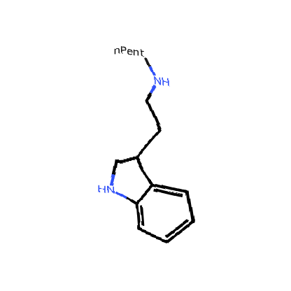 CCCCCNCCC1CNc2ccccc21